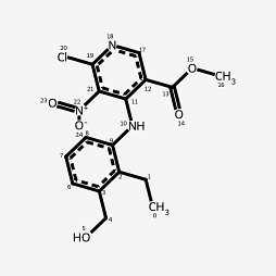 CCc1c(CO)cccc1Nc1c(C(=O)OC)cnc(Cl)c1[N+](=O)[O-]